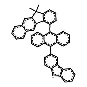 CC1(C)c2cc3ccccc3cc2-c2c(-c3c4ccccc4c(-c4ccc5sc6ccccc6c5c4)c4ccccc34)cccc21